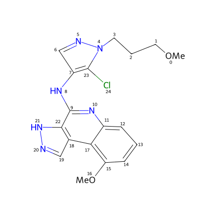 COCCCn1ncc(Nc2nc3cccc(OC)c3c3cn[nH]c23)c1Cl